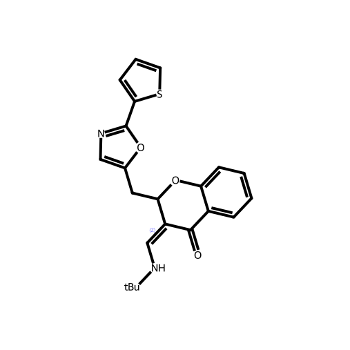 CC(C)(C)N/C=C1\C(=O)c2ccccc2OC1Cc1cnc(-c2cccs2)o1